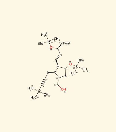 CCCCC[C@@H](/C=C/[C@@H]1[C@H](CC#C[Si](C)(C)C)[C@@H](CO)C[C@H]1O[Si](C)(C)C(C)(C)C)O[Si](C)(C)C(C)(C)C